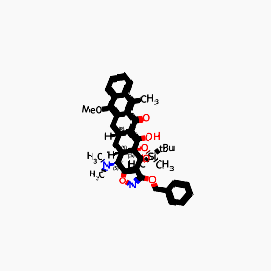 COc1c2c(c(C)c3ccccc13)C(=O)C1=C(O)[C@]3(O[Si](C)(C)C(C)(C)C)C(=O)c4c(OCc5ccccc5)noc4[C@@H](N(C)C)[C@@H]3C[C@@H]1C2